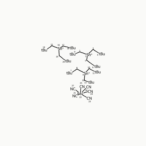 CC(C)(C)[CH2][Sn+]([CH2]C(C)(C)C)[CH2]C(C)(C)C.CC(C)(C)[CH2][Sn+]([CH2]C(C)(C)C)[CH2]C(C)(C)C.CC(C)(C)[CH2][Sn+]([CH2]C(C)(C)C)[CH2]C(C)(C)C.N#[C][Fe-3]([C]#N)([C]#N)([C]#N)([C]#N)[C]#N